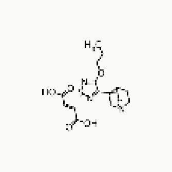 CCCOc1nsnc1C1CN2CCC1CC2.O=C(O)C=CC(=O)O